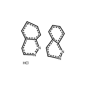 Cl.c1ccc2nnccc2c1.c1ccc2nnccc2c1